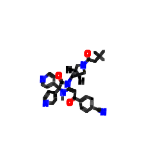 CN1C(=CC(=O)c2ccc(C#N)cc2)N([C@H]2[C@@H]3CN(C(=O)CC(C)(C)C)C[C@@H]32)C(=O)C1(c1ccncc1)c1ccncc1